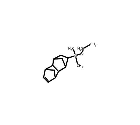 C[SiH2]O[Si](C)(C)C1CC2CC1C1C3C=CC(C3)C21